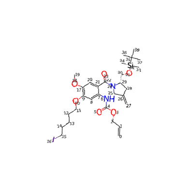 C=CCOC(=O)Nc1cc(OCCCCCI)c(OC)cc1C(=O)N1CC(=C)C[C@H]1CO[Si](C)(C)C(C)(C)C